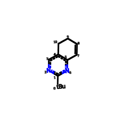 CC(C)(C)c1ncc2c(n1)C=CCC2